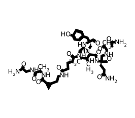 CCC(C)C(NC[C@@](C=O)(Cc1ccc(O)cc1)NC(=O)CNC(=O)CCCC(=O)NCCC1CC1C(=O)N[C@@H](C)C(=O)NCC(N)=O)C(=O)N[C@](C=O)(CCC(N)=O)CN[C@@H](CC(N)=O)C(C)=O